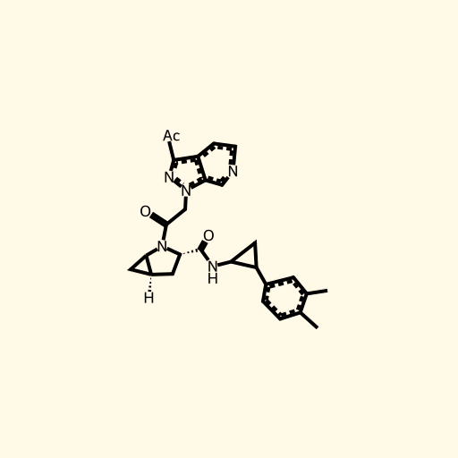 CC(=O)c1nn(CC(=O)N2C3C[C@@H]3C[C@H]2C(=O)NC2CC2c2ccc(C)c(C)c2)c2cnccc12